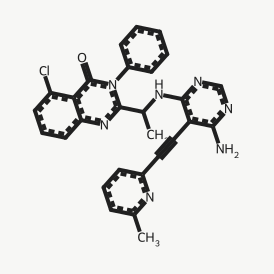 Cc1cccc(C#Cc2c(N)ncnc2NC(C)c2nc3cccc(Cl)c3c(=O)n2-c2ccccc2)n1